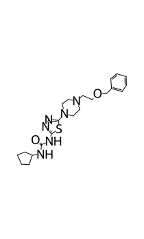 O=C(Nc1nnc(N2CCN(CCOCc3ccccc3)CC2)s1)NC1CCCC1